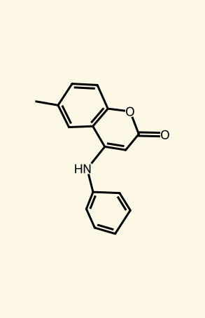 Cc1ccc2oc(=O)cc(Nc3ccccc3)c2c1